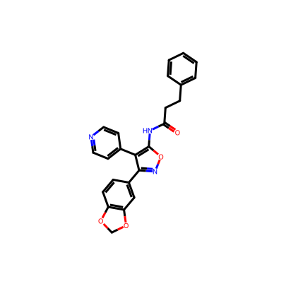 O=C(CCc1ccccc1)Nc1onc(-c2ccc3c(c2)OCO3)c1-c1ccncc1